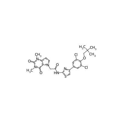 Cn1c(=O)c2c(ccn2CC(=O)Nc2nc(-c3cc(Cl)c(OCC(C)(C)C)c(Cl)c3)cs2)n(C)c1=O